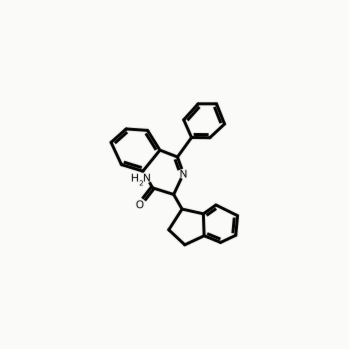 NC(=O)C(N=C(c1ccccc1)c1ccccc1)C1CCc2ccccc21